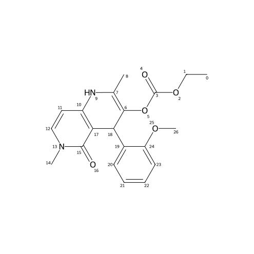 CCOC(=O)OC1=C(C)Nc2ccn(C)c(=O)c2C1c1ccccc1OC